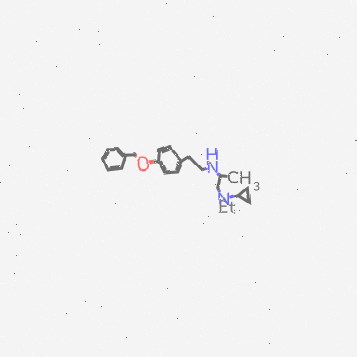 CCN(CC(C)NCCc1ccc(OCc2ccccc2)cc1)C1CC1